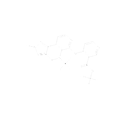 [2H]C([2H])([2H])NC(=O)c1cnccc1Nc1nccc2c1N(C([2H])([2H])[2H])Cc1cn(C)nc1-2